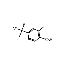 CCOC(=O)c1cnc(C(F)(F)C(F)(F)F)nc1C